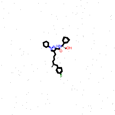 C[C@@H](CCCCc1cn(C2CCCCC2)nc1C(=O)N[C@@H](CO)c1ccccc1)Cc1ccc(F)cc1